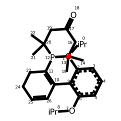 CC(C)Oc1cccc(OC(C)C)c1C1=C(P2C(C)(C)CC(=O)CC2(C)C)CCC=C1